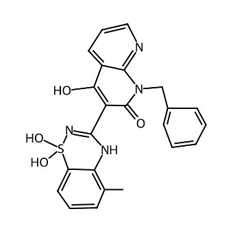 Cc1cccc2c1NC(c1c(O)c3cccnc3n(Cc3ccccc3)c1=O)=NS2(O)O